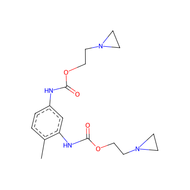 Cc1ccc(NC(=O)OCCN2CC2)cc1NC(=O)OCCN1CC1